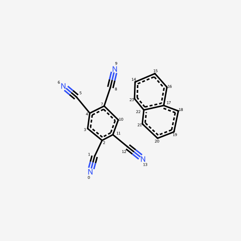 N#Cc1cc(C#N)c(C#N)cc1C#N.c1ccc2ccccc2c1